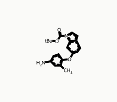 Cc1cc(N)ccc1Oc1ccc2ccn(C(=O)OC(C)(C)C)c2c1